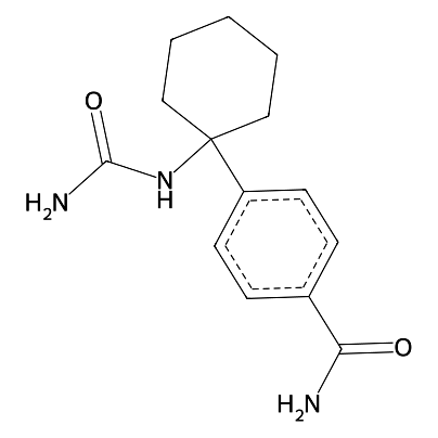 NC(=O)NC1(c2ccc(C(N)=O)cc2)CCCCC1